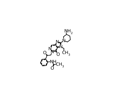 CCn1c(N2CCCC(N)C2)nc2cnn(CC(=O)c3ccccc3NC(C)=O)c(=O)c21